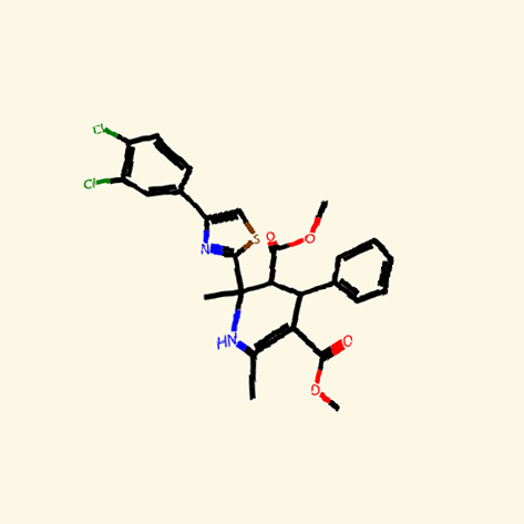 COC(=O)C1=C(C)NC(C)(c2nc(-c3ccc(Cl)c(Cl)c3)cs2)C(C(=O)OC)C1c1ccccc1